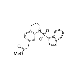 COC(=O)Cc1ccc2c(c1)N(S(=O)(=O)c1cccc3ccccc13)CCC2